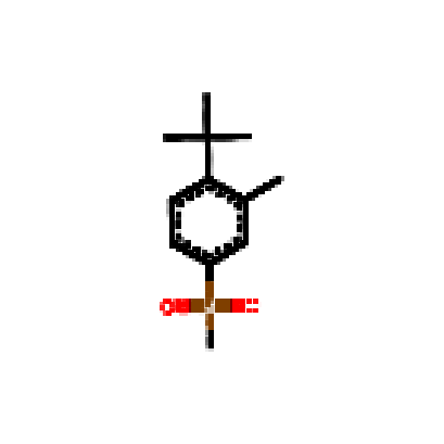 Cc1cc(S(C)(=O)=O)ccc1C(C)(C)C